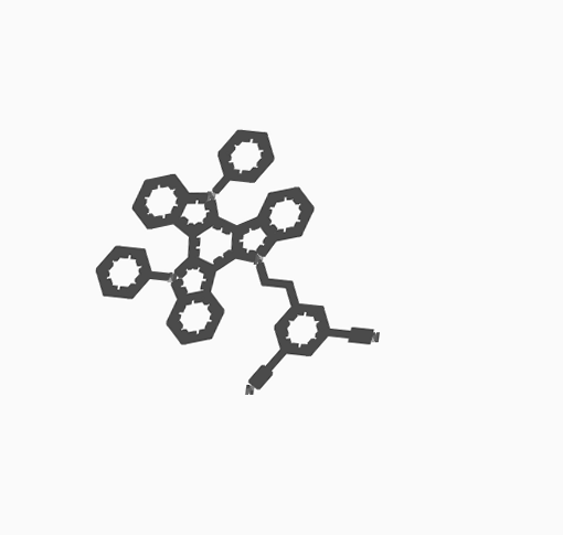 N#Cc1cc(C#N)cc(CCn2c3ccccc3c3c2c2c4ccccc4n(-c4ccccc4)c2c2c4ccccc4n(-c4ccccc4)c32)c1